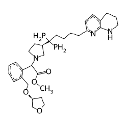 COC(=O)C(c1ccccc1CO[C@H]1CCOC1)N1CC[C@@H](C(P)(P)CCCCc2ccc3c(n2)NCCC3)C1